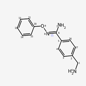 NCc1ccc(/C(N)=N/Oc2ccccc2)cc1